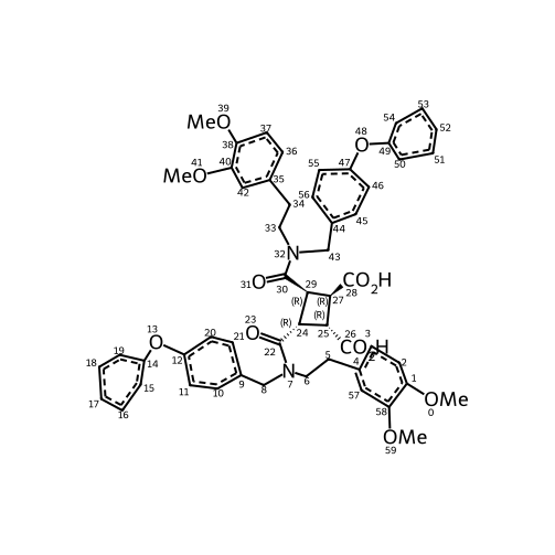 COc1ccc(CCN(Cc2ccc(Oc3ccccc3)cc2)C(=O)[C@H]2[C@@H](C(=O)O)[C@H](C(=O)O)[C@@H]2C(=O)N(CCc2ccc(OC)c(OC)c2)Cc2ccc(Oc3ccccc3)cc2)cc1OC